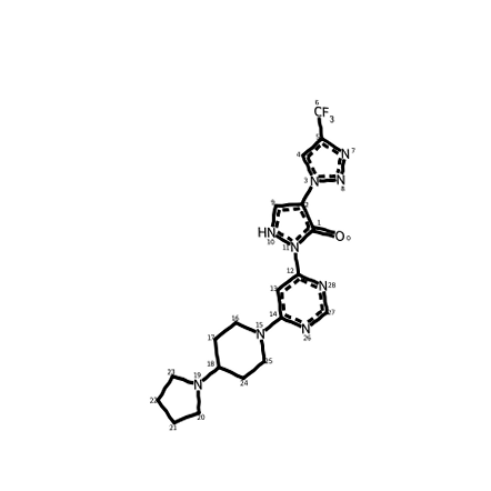 O=c1c(-n2cc(C(F)(F)F)nn2)c[nH]n1-c1cc(N2CCC(N3CCCC3)CC2)ncn1